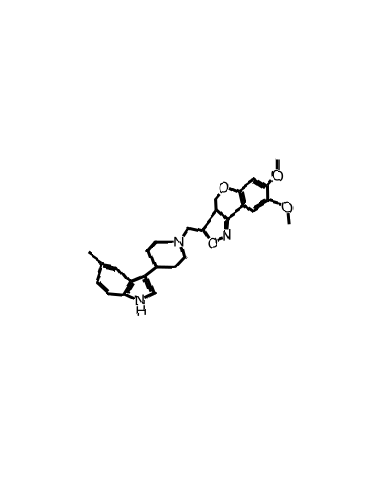 COc1cc2c(cc1OC)C1=NOC(CN3CCC(c4c[nH]c5ccc(C)cc45)CC3)C1CO2